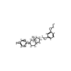 CCOc1cccc(OC[C@H]2C[C@H]3CN(c4ncc(F)cn4)CCN3C2)c1